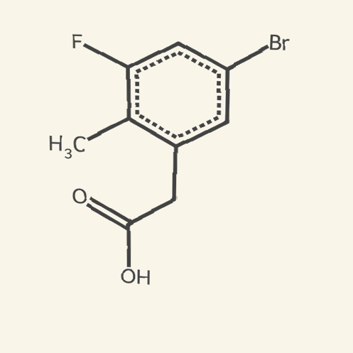 Cc1c(F)cc(Br)cc1CC(=O)O